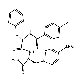 COC(=O)[C@H](Cc1ccc(NC(C)=O)cc1)NC(=O)[C@H](Cc1ccccc1)NC(=O)c1ccc(C)cc1